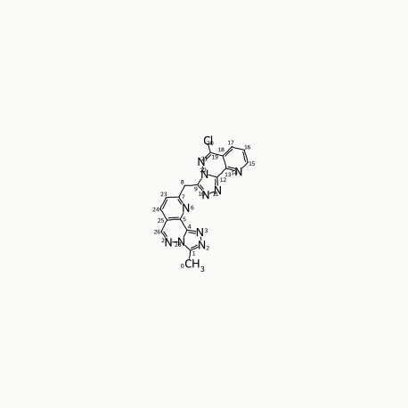 Cc1nnc2c3nc(Cc4nnc5c6ncccc6c(Cl)nn45)ccc3cnn12